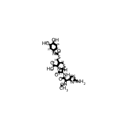 CO/N=C(\C(=O)N[C@@H]1C(=O)N2C(C(=O)O)=C(CSc3nc4cc(O)c(O)cc4o3)CS[C@H]12)c1csc(N)n1